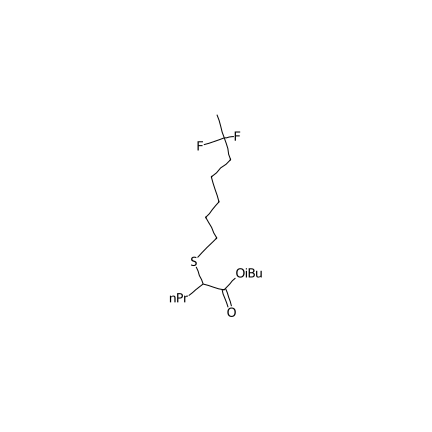 CCCC(SCCCCCC(C)(F)F)C(=O)OCC(C)C